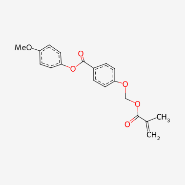 C=C(C)C(=O)OCOc1ccc(C(=O)Oc2ccc(OC)cc2)cc1